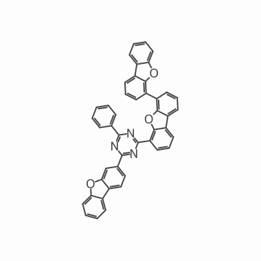 c1ccc(-c2nc(-c3ccc4c(c3)oc3ccccc34)nc(-c3cccc4c3oc3c(-c5cccc6c5oc5ccccc56)cccc34)n2)cc1